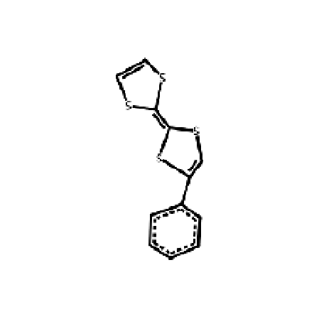 C1=CSC(=C2SC=C(c3ccccc3)S2)S1